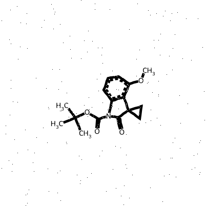 COc1cccc2c1C1(CC1)C(=O)N2C(=O)OC(C)(C)C